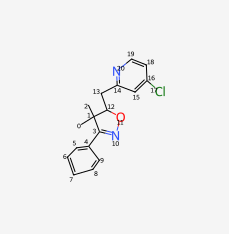 CC1(C)C(c2ccccc2)=NOC1Cc1cc(Cl)ccn1